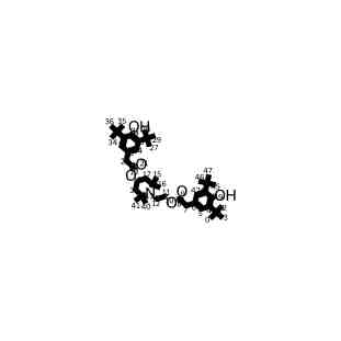 CC(C)(C)c1cc(CC(=O)OCCN2C(C)(C)CC(OC(=O)Cc3cc(C(C)(C)C)c(O)c(C(C)(C)C)c3)CC2(C)C)cc(C(C)(C)C)c1O